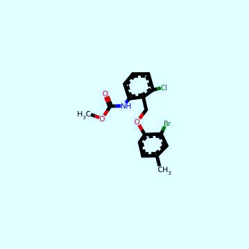 COC(=O)Nc1cccc(Cl)c1COc1ccc(C)cc1Br